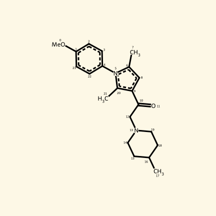 COc1ccc(-n2c(C)cc(C(=O)CN3CCC(C)CC3)c2C)cc1